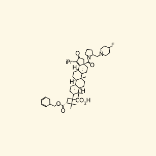 CC(C)C1=C2[C@H]3CC[C@@H]4[C@]5(C)CC[C@H]([C@@]6(C(=O)O)C[C@@H](C(=O)OCc7ccccc7)C6(C)C)C(C)(C)[C@H]5CC[C@@]4(C)[C@]3(C)CC[C@@]2(C(=O)N2CCCC2CN2CCC(F)CC2)CC1=O